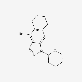 Brc1c2c(cc3c1cnn3C1CCCCO1)CCCC2